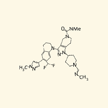 CN=CN1CCC(n2nc(N3CCCc4cc(-c5cnn(C)c5)c(C(F)F)cc43)c3c2CCN(C(=O)NC)C3)CC1